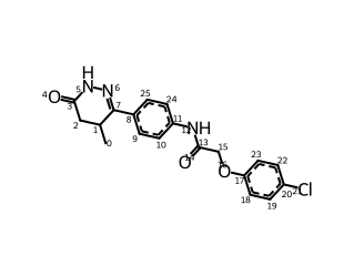 CC1CC(=O)NN=C1c1ccc(NC(=O)COc2ccc(Cl)cc2)cc1